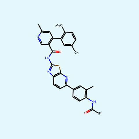 COc1ccc(C#N)cc1-c1cc(C)ncc1C(=O)Nc1nc2ccc(-c3ccc(NC(=O)C(C)C)c(C)c3)nc2s1